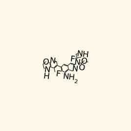 COC(=O)N(c1cc2cc(-c3cnc4c(c3C)NCCO4)c(F)c(N)c2cn1)C1(F)CNC1